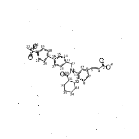 COC(=O)/C=C/c1cccc(N(Cc2ccc(-c3ccc(S(C)(=O)=O)cc3)cc2)C(=O)C2CCCCC2)c1